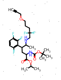 C#CCOCCCC(F)(F)CNC(C)C(CC(NC(=O)OC(C)(C)C)C(=O)OC(C)C)c1c(F)ccc(F)c1F